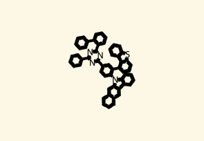 c1ccc(-c2nc(-c3ccc(-n4c5ccccc5c5cc6ccccc6cc54)c(-c4cccc5sc6ccccc6c45)c3)nc(-c3ccccc3-c3ccccc3)n2)cc1